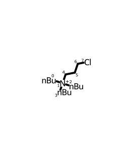 CCCC[N+](CCCC)(CCCC)CCCCl